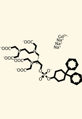 O=C([O-])CN(CCN(CC(=O)[O-])C[C@H](COP(=O)([O-])OC1CCC(c2ccccc2)(c2ccccc2)CC1)N(CC(=O)[O-])CC(=O)[O-])CC(=O)[O-].[Gd+3].[Na+].[Na+].[Na+]